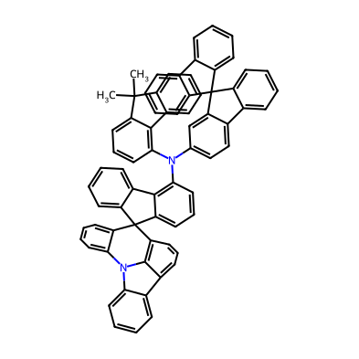 CC1(C)c2ccccc2-c2c(N(c3ccc4c(c3)C3(c5ccccc5-c5ccccc53)c3ccccc3-4)c3cccc4c3-c3ccccc3C43c4ccccc4-n4c5ccccc5c5cccc3c54)cccc21